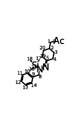 CC(=O)CC1CCC(=NN(Cc2ccccc2)[Si](C)(C)C)CC1